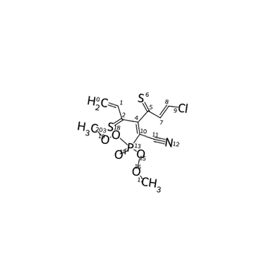 C=CC(=S)C(C(=S)C=CCl)=C(C#N)P(=O)(OOC)OOC